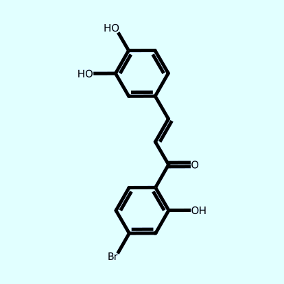 O=C(/C=C/c1ccc(O)c(O)c1)c1ccc(Br)cc1O